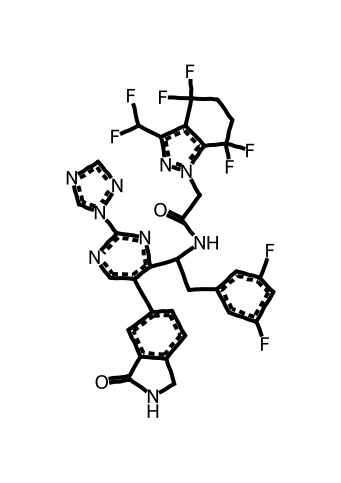 O=C(Cn1nc(C(F)F)c2c1C(F)(F)CCC2(F)F)NC(Cc1cc(F)cc(F)c1)c1nc(-n2cncn2)ncc1-c1ccc2c(c1)C(=O)NC2